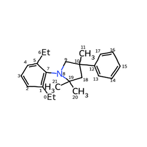 CCc1cccc(CC)c1N1CC(C)(c2ccccc2)CC1(C)C